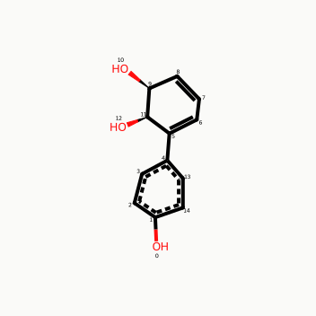 Oc1ccc(C2=CC=C[C@H](O)[C@@H]2O)cc1